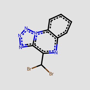 BrC(Br)c1nc2ccccc2n2nnnc12